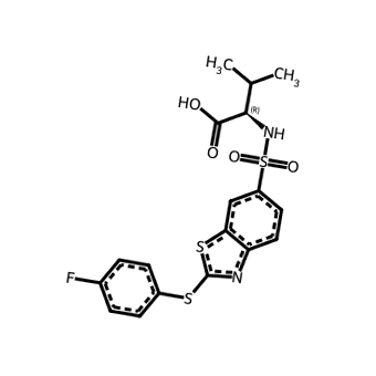 CC(C)[C@@H](NS(=O)(=O)c1ccc2nc(Sc3ccc(F)cc3)sc2c1)C(=O)O